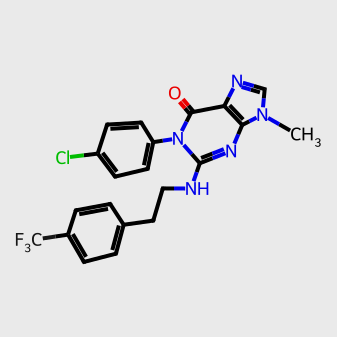 Cn1cnc2c(=O)n(-c3ccc(Cl)cc3)c(NCCc3ccc(C(F)(F)F)cc3)nc21